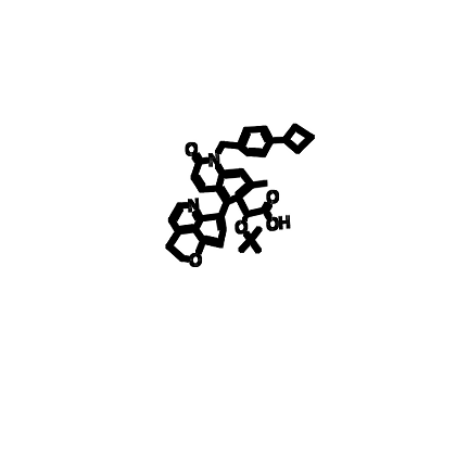 Cc1cc2c(ccc(=O)n2Cc2ccc(C3CCC3)cc2)c(-c2ccc3c4c(ccnc24)CCO3)c1[C@H](OC(C)(C)C)C(=O)O